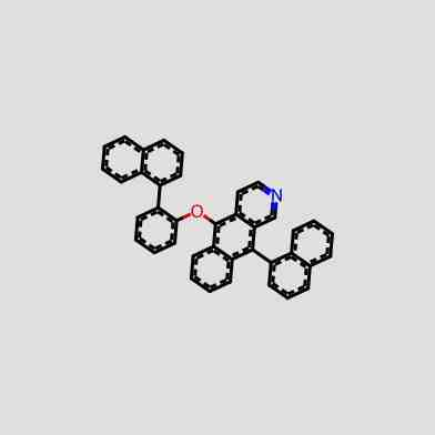 c1ccc(-c2cccc3ccccc23)c(Oc2c3ccccc3c(-c3cccc4ccccc34)c3cnccc23)c1